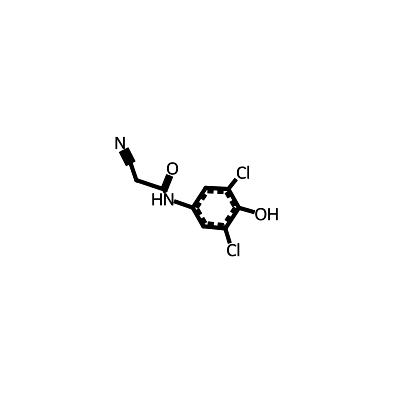 N#CCC(=O)Nc1cc(Cl)c(O)c(Cl)c1